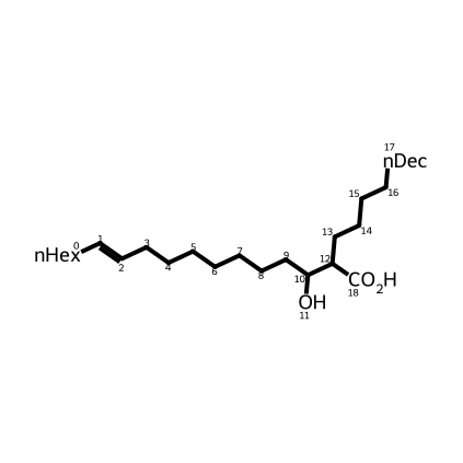 CCCCCCC=CCCCCCCCC(O)C(CCCCCCCCCCCCCC)C(=O)O